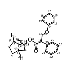 CN1[C@@H]2CC[C@H]1C[C@@H](OC(=O)C(COc1ccccc1)c1ccccc1)C2